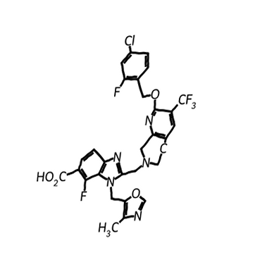 Cc1ncoc1Cn1c(CN2CCc3cc(C(F)(F)F)c(OCc4ccc(Cl)cc4F)nc3C2)nc2ccc(C(=O)O)c(F)c21